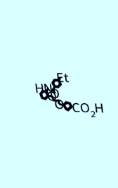 CCc1ccc(C(=O)Nc2ccccc2OCCOc2ccc(C(=O)O)cc2)cc1